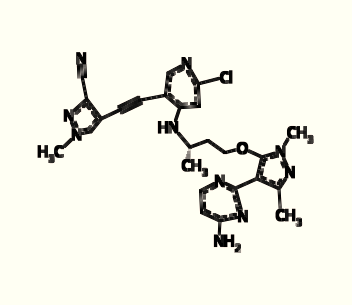 Cc1nn(C)c(OCC[C@H](C)Nc2cc(Cl)ncc2C#Cc2cn(C)nc2C#N)c1-c1nccc(N)n1